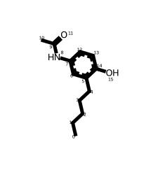 CCCCCc1cc(NC(C)=O)ccc1O